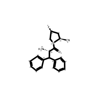 N#C[C@@H]1C[C@H](F)CN1C(=O)[C@@H](N)C(c1ccccc1)c1ccccc1